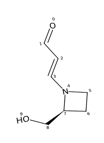 O=CC=CN1CC[C@H]1CO